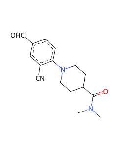 CN(C)C(=O)C1CCN(c2ccc(C=O)cc2C#N)CC1